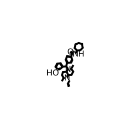 C=CCN1C(C)CCC2C1CCC(C)N2C(c1ccc(C(=O)NC2CCCCCC2)cc1)c1cccc(O)c1